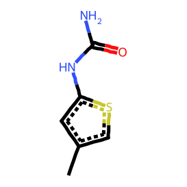 Cc1csc(NC(N)=O)c1